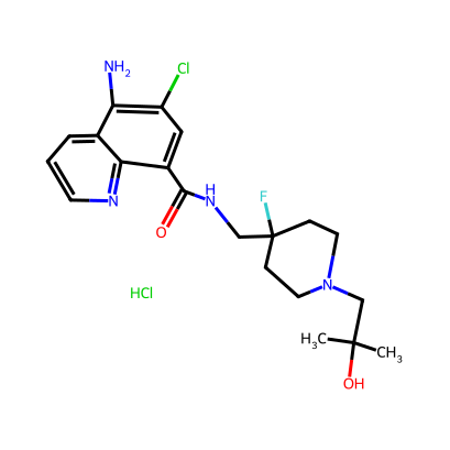 CC(C)(O)CN1CCC(F)(CNC(=O)c2cc(Cl)c(N)c3cccnc23)CC1.Cl